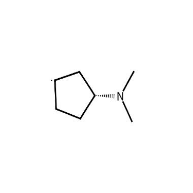 CN(C)[C@H]1C[CH]CC1